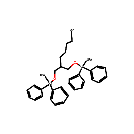 CC(=O)CCCCC(CO[Si](c1ccccc1)(c1ccccc1)C(C)(C)C)CO[Si](c1ccccc1)(c1ccccc1)C(C)(C)C